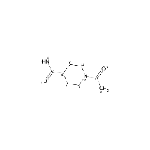 CC(=O)N1CCC(C([NH])=O)CC1